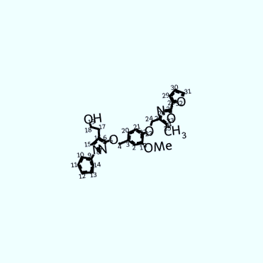 COc1cc(COc2nn(-c3ccccc3)cc2CCO)ccc1OCc1nc(-c2ccco2)oc1C